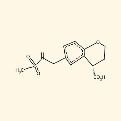 CS(=O)(=O)NCc1ccc2c(c1)[C@@H](C(=O)O)CCO2